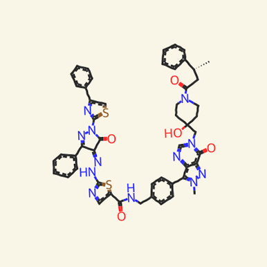 C[C@H](CC(=O)N1CCC(O)(Cn2cnc3c(-c4ccc(CNC(=O)c5cnc(N/N=C6/C(=O)N(c7nc(-c8ccccc8)cs7)N=C6c6ccccc6)s5)cc4)n(C)nc3c2=O)CC1)c1ccccc1